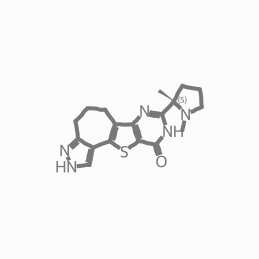 CN1CCC[C@@]1(C)c1nc2c3c(sc2c(=O)[nH]1)-c1c[nH]nc1CCC3